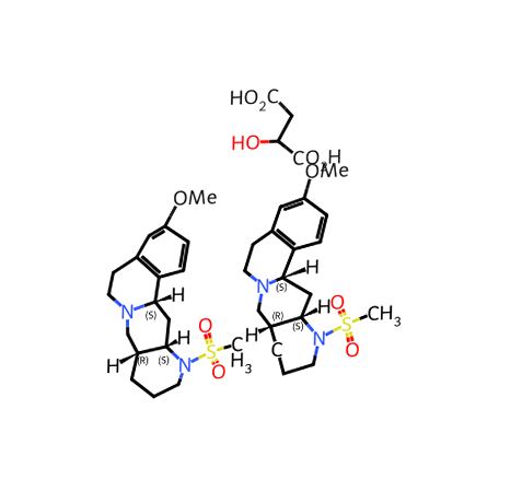 COc1ccc2c(c1)CCN1C[C@H]3CCCN(S(C)(=O)=O)[C@H]3C[C@@H]21.COc1ccc2c(c1)CCN1C[C@H]3CCCN(S(C)(=O)=O)[C@H]3C[C@@H]21.O=C(O)CC(O)C(=O)O